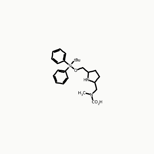 CN(CC1CCC(CO[Si](c2ccccc2)(c2ccccc2)C(C)(C)C)N1)C(=O)O